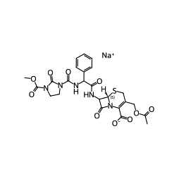 COC(=O)N1CCN(C(=O)NC(C(=O)NC2C(=O)N3C(C(=O)[O-])=C(COC(C)=O)CS[C@@H]23)c2ccccc2)C1=O.[Na+]